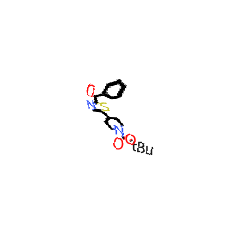 CC(C)(C)OC(=O)N1CCC(c2cnc(C(=O)c3ccccc3)s2)CC1